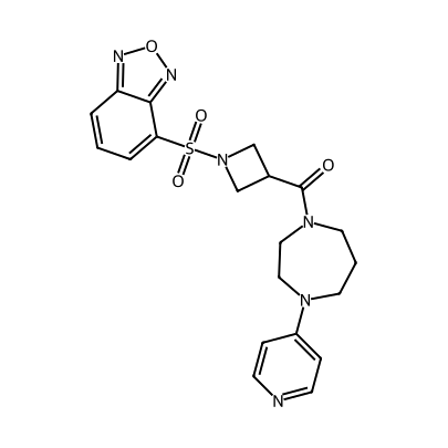 O=C(C1CN(S(=O)(=O)c2cccc3nonc23)C1)N1CCCN(c2ccncc2)CC1